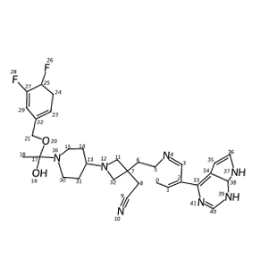 C/C=C(\C=N/CCC1(CC#N)CN(C2CCN(C(C)(O)OCC3=CCC(F)C(F)=C3)CC2)C1)C1=C2C=CNC2NC=N1